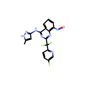 Cc1cc(Nc2nc(C(F)(F)c3ccc(F)cn3)nc3c(N=O)cccc23)n[nH]1